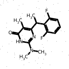 Cc1c(C(C)c2c(F)cccc2F)nc(N(C)C)[nH]c1=O